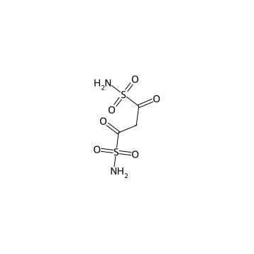 NS(=O)(=O)C(=O)CC(=O)S(N)(=O)=O